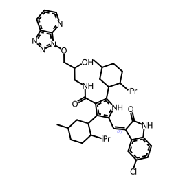 CC1CCC(C(C)C)C(c2[nH]c(/C=C3\C(=O)Nc4ccc(Cl)cc43)c(C3CC(C)CCC3C(C)C)c2C(=O)NCC(O)COn2nnc3cccnc32)C1